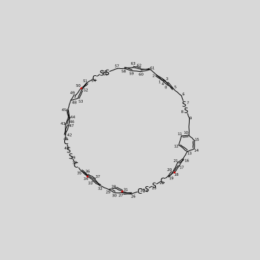 c1cc2ccc1CSSCc1ccc(cc1)-c1ccc(cc1)CSSCc1ccc(cc1)-c1ccc(cc1)CSSCc1ccc(cc1)-c1ccc(cc1)CSSCc1ccc-2cc1